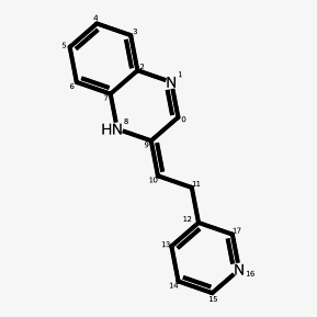 C1=Nc2ccccc2N/C1=C/Cc1cccnc1